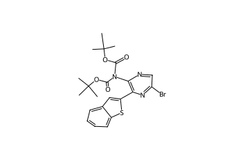 CC(C)(C)OC(=O)N(C(=O)OC(C)(C)C)c1ncc(Br)nc1-c1cc2ccccc2s1